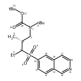 CCCCN(C[C@@H](C)C(CC)S(=O)(=O)c1ccc2cnccc2c1)C(=O)OC(C)(C)C